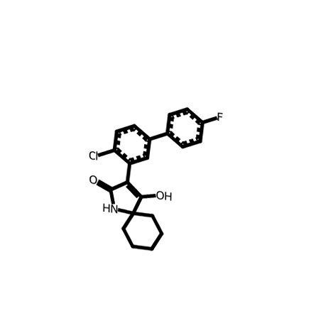 O=C1NC2(CCCCC2)C(O)=C1c1cc(-c2ccc(F)cc2)ccc1Cl